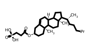 CC(C)CCC[C@@H](C)C1CCC2[C@@H]3CC=C4C[C@@H](OC(=O)CCP(=O)(O)O)CC[C@]4(C)C3CC[C@@]21C